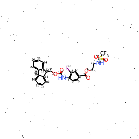 O=C(Nc1ccc(C(=O)OCCNS(=O)(=O)C(F)(F)F)cc1I)OCC1c2ccccc2-c2ccccc21